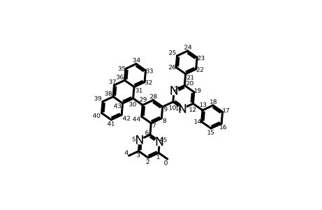 Cc1cc(C)nc(-c2cc(-c3nc(-c4ccccc4)cc(-c4ccccc4)n3)cc(-c3c4ccccc4cc4ccccc34)c2)n1